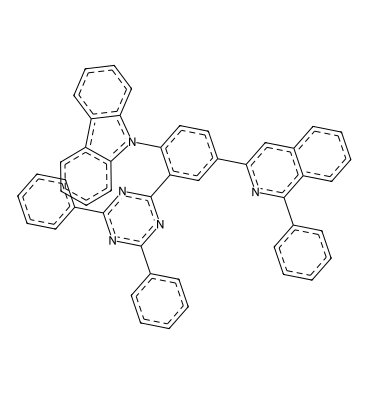 c1ccc(-c2nc(-c3ccccc3)nc(-c3cc(-c4cc5ccccc5c(-c5ccccc5)n4)ccc3-n3c4ccccc4c4ccccc43)n2)cc1